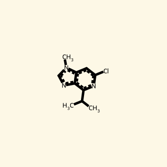 CC(C)c1nc(Cl)cc2c1ncn2C